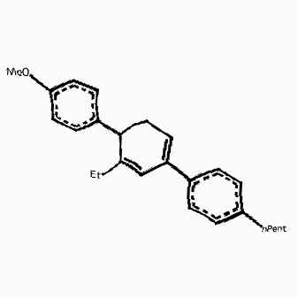 CCCCCc1ccc(C2=CCC(c3ccc(OC)cc3)C(CC)=C2)cc1